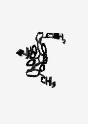 CCc1cccc2c(O)c(C3c4c(c5cccc(CC)c5oc4=O)OC3O)c(=O)oc12